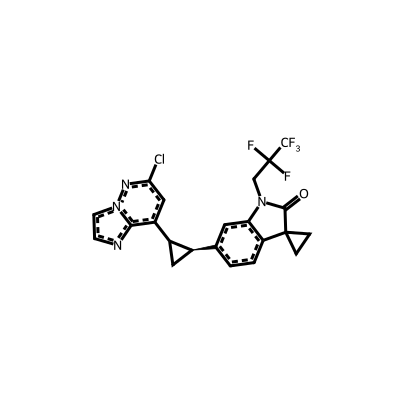 O=C1N(CC(F)(F)C(F)(F)F)c2cc([C@H]3CC3c3cc(Cl)nn4ccnc34)ccc2C12CC2